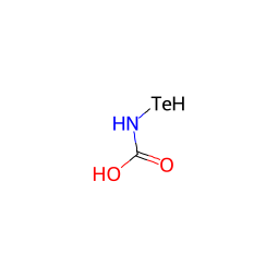 O=C(O)N[TeH]